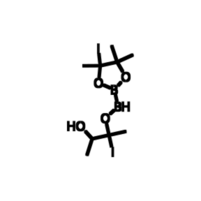 CC(O)C(C)(I)OBB1OC(C)(C)C(C)(I)O1